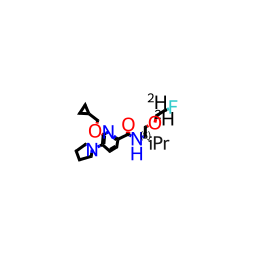 [2H]C([2H])(F)COC[C@@H](NC(=O)c1ccc(N2CCCC2)c(OCC2CC2)n1)C(C)C